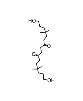 CC(C)(CCCO)CCC(=O)CCC(=O)CCC(C)(C)CCCO